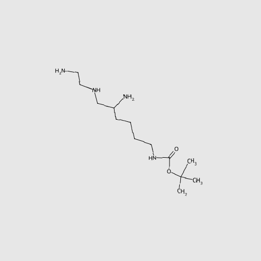 CC(C)(C)OC(=O)NCCCCC(N)CNCCN